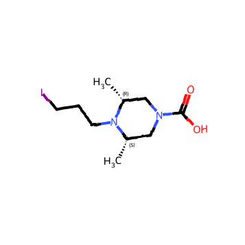 C[C@@H]1CN(C(=O)O)C[C@H](C)N1CCCI